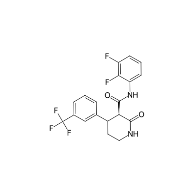 O=C1NCCC(c2cccc(C(F)(F)F)c2)[C@H]1C(=O)Nc1cccc(F)c1F